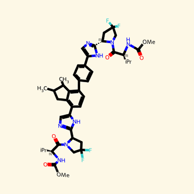 COC(=O)N[C@H](C(=O)N1CC(F)(F)CC1c1ncc(-c2ccc(-c3ccc(-c4cnc([C@@H]5CC(F)(F)CN5C(=O)[C@@H](NC(=O)OC)C(C)C)[nH]4)cc3)c3c2CC(C)C3C)[nH]1)C(C)C